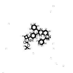 CC(C)(C)OC(=O)NC1(c2ccc(-c3nc4c(ccc5nnc(-c6ccncc6)n54)nc3-c3ccccc3)cc2)CCC1